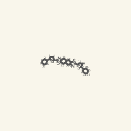 c1ccc(-c2ccc(-c3nc4cc5cc6sc(-c7ccc(-c8ccccc8)s7)nc6cc5cc4s3)s2)cc1